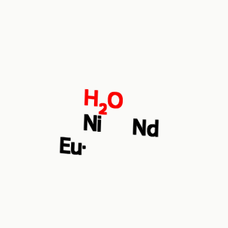 O.[Eu].[Nd].[Ni]